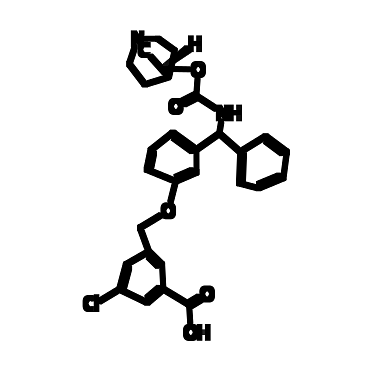 O=C(NC(c1ccccc1)c1cccc(OCc2cc(Cl)cc(C(=O)O)c2)c1)O[C@H]1CN2CCC1CC2